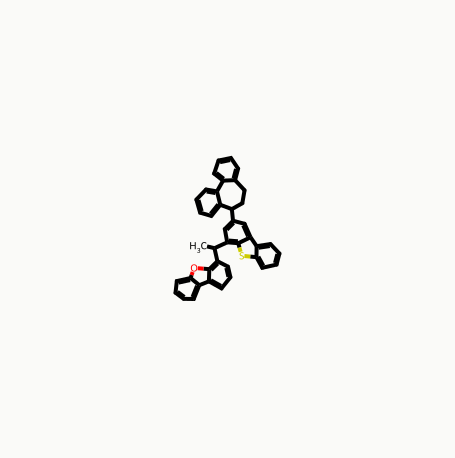 CC(c1cccc2c1oc1ccccc12)c1cc(C2CCc3ccccc3-c3ccccc32)cc2c1sc1ccccc12